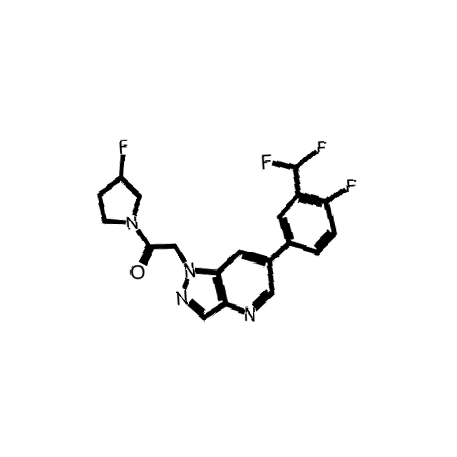 O=C(Cn1ncc2ncc(-c3ccc(F)c(C(F)F)c3)cc21)N1CCC(F)C1